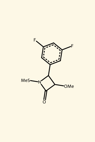 COC1C(=O)N(SC)C1c1cc(F)cc(F)c1